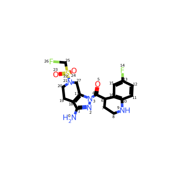 Nc1nn(C(=O)C2CCNc3ccc(F)cc32)c2c1CCN(S(=O)(=O)CF)C2